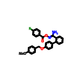 COc1ccc(COc2ccc(-c3ccccc3C(N)=NOC(=O)c3ccc(F)cc3)cc2)cc1